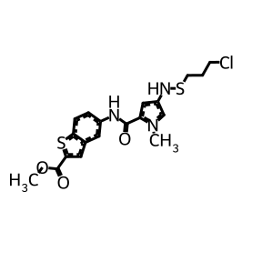 COC(=O)c1cc2cc(NC(=O)c3cc(NSCCCCl)cn3C)ccc2s1